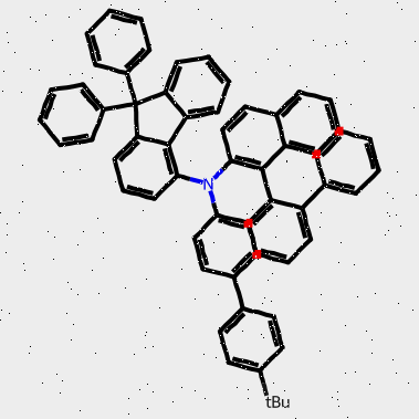 CC(C)(C)c1ccc(-c2ccc(N(c3cccc4c3-c3ccccc3C4(c3ccccc3)c3ccccc3)c3ccc4ccccc4c3-c3ccccc3-c3ccccc3)cc2)cc1